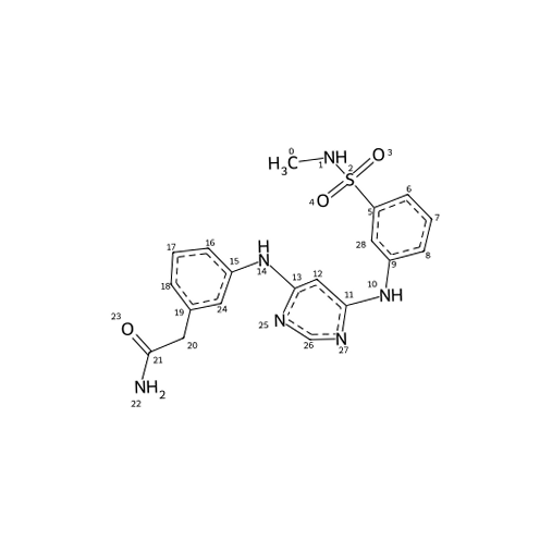 CNS(=O)(=O)c1cccc(Nc2cc(Nc3cccc(CC(N)=O)c3)ncn2)c1